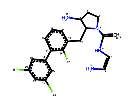 C=C(N/C=C\N)N1CCC(N)C1Cc1cccc(-c2cc(F)cc(F)c2)c1F